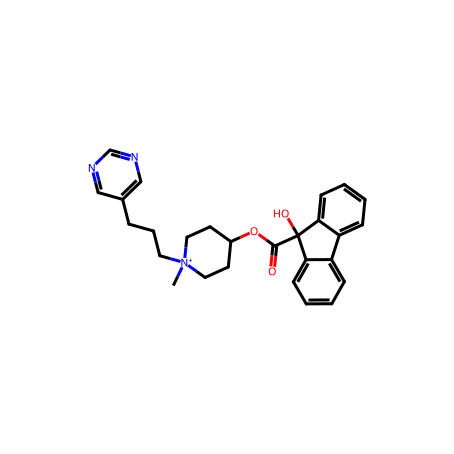 C[N+]1(CCCc2cncnc2)CCC(OC(=O)C2(O)c3ccccc3-c3ccccc32)CC1